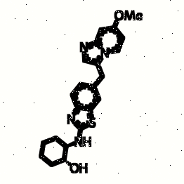 COc1ccn2c(Cc3ccc4nc(N[C@@H]5CCCC[C@H]5O)sc4c3)cnc2c1